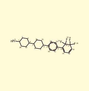 CCCC1CCC(C2CCC(c3ccc(C4=CC=CC(F)(F)C4(F)F)cc3)CC2)CC1